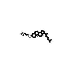 CC(C)CCCC(C)C1CCC2C3CC=C4CC(OCCCS(C)(C)C)CC[C@]4(C)C3CC[C@]12C